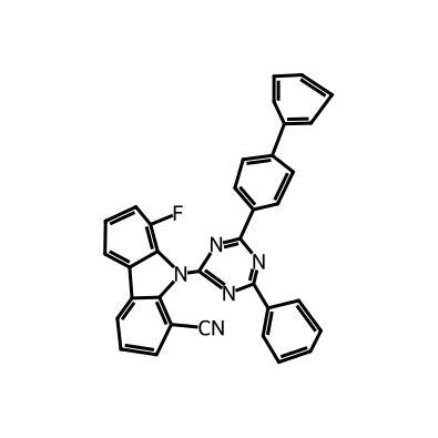 N#Cc1cccc2c3cccc(F)c3n(-c3nc(-c4ccccc4)nc(-c4ccc(-c5ccccc5)cc4)n3)c12